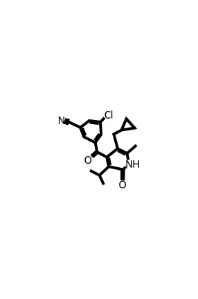 Cc1[nH]c(=O)c(C(C)C)c(C(=O)c2cc(Cl)cc(C#N)c2)c1CC1CC1